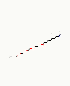 CCCCCCCC/C=C\CCCCCCCC(=O)OCCOCCOCCOCCCCCC